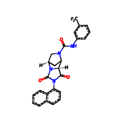 O=C1[C@@H]2C3C[C@H](CN3C(=O)Nc3cccc(C(F)(F)F)c3)N2C(=O)N1c1cccc2ccccc12